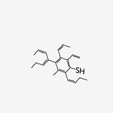 C=Cc1c(S)c(/C=C\CC)c(C)c(C(/C=C\C)=C/CC)c1/C=C\C